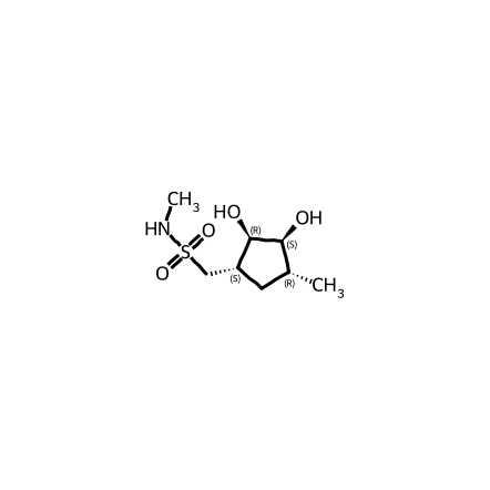 CNS(=O)(=O)C[C@H]1C[C@@H](C)[C@H](O)[C@@H]1O